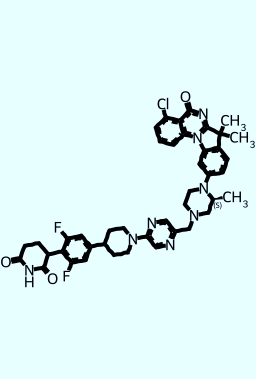 C[C@H]1CN(Cc2cnc(N3CCC(c4cc(F)c(C5CCC(=O)NC5=O)c(F)c4)CC3)cn2)CCN1c1ccc2c(c1)-n1c(nc(=O)c3c(Cl)cccc31)C2(C)C